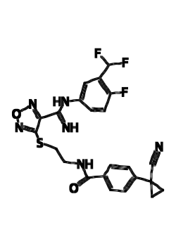 N#CC1(c2ccc(C(=O)NCCSc3nonc3C(=N)Nc3ccc(F)c(C(F)F)c3)cc2)CC1